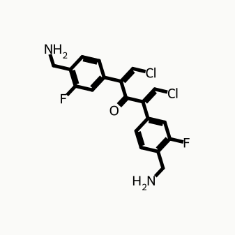 NCc1ccc(C(=CCl)C(=O)C(=CCl)c2ccc(CN)c(F)c2)cc1F